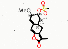 CO[C@@H]1C=C2C=C3OC(=O)C(C)=C3C[C@]2(C)[C@@H](C)[C@H]1OS(C)(=O)=O